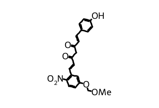 COCOc1ccc([N+](=O)[O-])c(C=CC(=O)CC(=O)C=Cc2ccc(O)cc2)c1